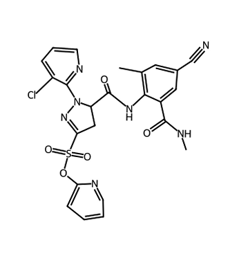 CNC(=O)c1cc(C#N)cc(C)c1NC(=O)C1CC(S(=O)(=O)Oc2ccccn2)=NN1c1ncccc1Cl